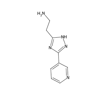 NCCc1nc(-c2cccnc2)n[nH]1